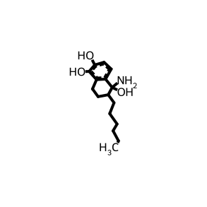 CCCCCCC1CCc2c(ccc(O)c2O)C1(N)O